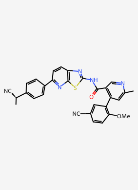 COc1ccc(C#N)cc1-c1cc(C)ncc1C(=O)Nc1nc2ccc(-c3ccc([C@@H](C)C#N)cc3)nc2s1